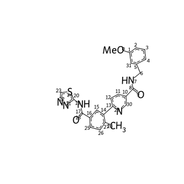 COc1cccc(CNC(=O)c2ccc(-c3cc(C(=O)Nc4nncs4)ccc3C)nc2)c1